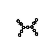 c1ccc(-c2ccc(-c3cc(-c4ccc(-c5cc(-c6ccc(-c7ccccc7)cc6)cc(-c6ccc7c(c6)sc6ccccc67)c5)cc4)cc(-c4ccc5c(c4)sc4ccccc45)c3)cc2)cc1